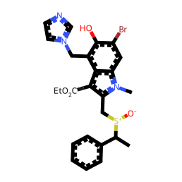 CCOC(=O)c1c(C[S+]([O-])C(C)c2ccccc2)n(C)c2cc(Br)c(O)c(Cn3ccnc3)c12